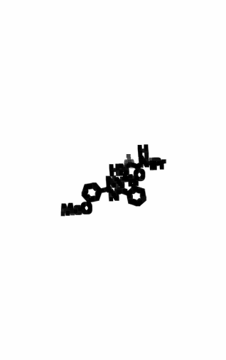 COc1cccc(-c2nc3c4ccccc4nc(N[C@H](C)C(=O)NC(C)C)n3n2)c1